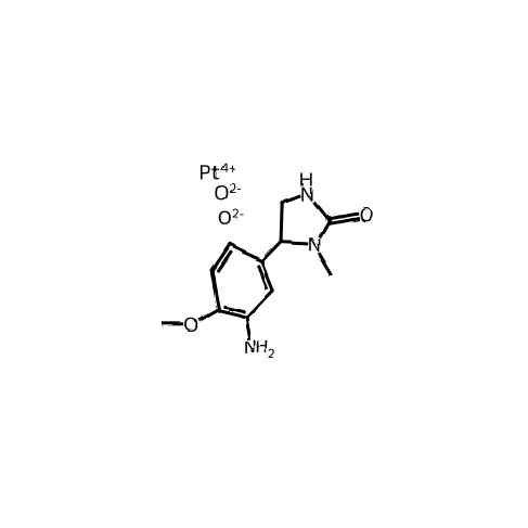 COc1ccc(C2CNC(=O)N2C)cc1N.[O-2].[O-2].[Pt+4]